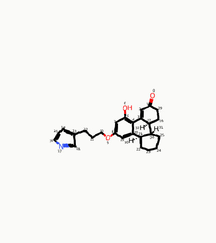 O=C1C=C2c3c(O)cc(OCCCc4cccnc4)cc3[C@@H]3CCCC[C@H]3[C@@H]2CC1